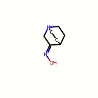 ON=C1CN2CCC1CC2